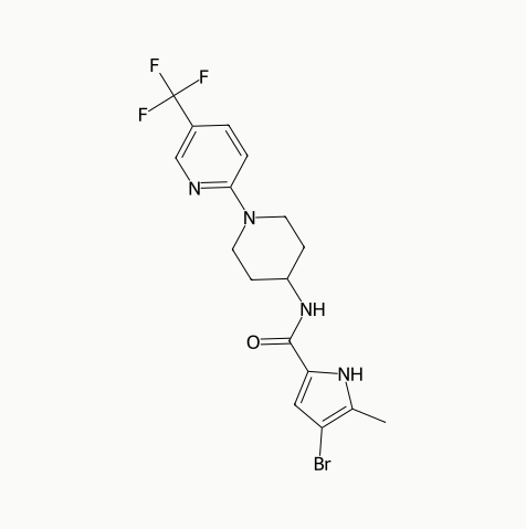 Cc1[nH]c(C(=O)NC2CCN(c3ccc(C(F)(F)F)cn3)CC2)cc1Br